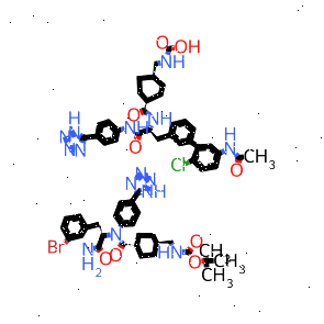 CC(=O)Nc1ccc(Cl)c(-c2cccc(C[C@H](NC(=O)[C@H]3CC[C@H](CNC(=O)O)CC3)C(=O)Nc3ccc(-c4nnn[nH]4)cc3)c2)c1.CC(C)(C)OC(=O)NC[C@H]1CC[C@H](C(=O)N(c2ccc(-c3nnn[nH]3)cc2)[C@@H](Cc2cccc(Br)c2)C(N)=O)CC1